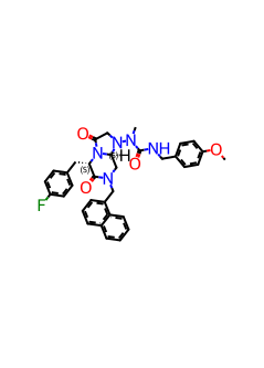 COc1ccc(CNC(=O)N(C)N2CC(=O)N3[C@@H](Cc4ccc(F)cc4)C(=O)N(Cc4cccc5ccccc45)C[C@@H]32)cc1